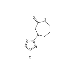 O=C1CN(c2nc(Cl)cs2)CCCN1